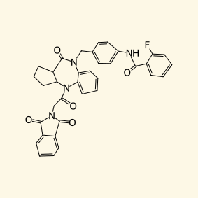 O=C(Nc1ccc(CN2C(=O)C3CCCC3N(C(=O)CN3C(=O)c4ccccc4C3=O)c3ccccc32)cc1)c1ccccc1F